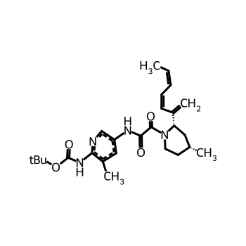 C=C(/C=C\C=C/C)[C@@H]1C[C@H](C)CCN1C(=O)C(=O)Nc1cnc(NC(=O)OC(C)(C)C)c(C)c1